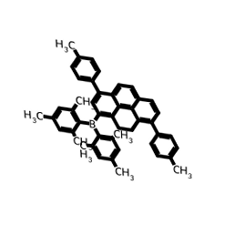 Cc1ccc(-c2ccc3ccc4c(-c5ccc(C)cc5)cc(B(c5c(C)cc(C)cc5C)c5c(C)cc(C)cc5C)c5c4c3c2CC5)cc1